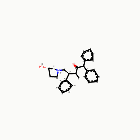 CC(C(=O)C(c1ccccc1)c1ccccc1)[C@H](CN1CC[C@H](O)C1)c1ccccc1